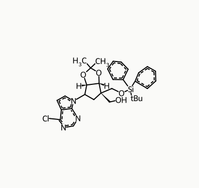 CC1(C)O[C@H]2C(n3ccc4c(Cl)ncnc43)C[C@@](CO)(CO[Si](c3ccccc3)(c3ccccc3)C(C)(C)C)[C@H]2O1